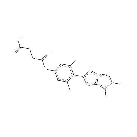 COC(=O)CCC(=O)Nc1cc(C)c(-c2nn3nc(C(C)(C)C)c(Cl)c3[nH]2)c(C)c1